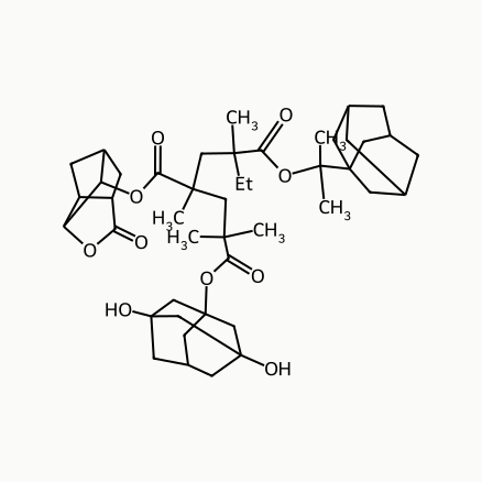 CCC(C)(CC(C)(CC(C)(C)C(=O)OC12CC3CC(O)(CC(O)(C3)C1)C2)C(=O)OC1C2CC3C(=O)OC1C3C2)C(=O)OC(C)(C)C12CC3CC(CC(C3)C1)C2